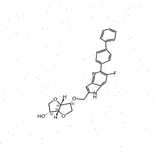 O[C@@H]1CO[C@H]2[C@@H]1OC[C@H]2OCc1cc2nc(-c3ccc(-c4ccccc4)cc3)c(F)cc2[nH]1